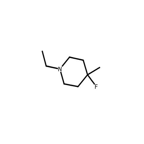 CCN1CCC(C)(F)CC1